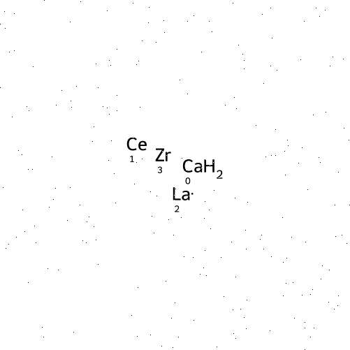 [CaH2].[Ce].[La].[Zr]